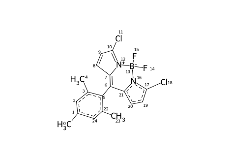 Cc1cc(C)c(C2=C3C=CC(Cl)=[N+]3[B-](F)(F)n3c(Cl)ccc32)c(C)c1